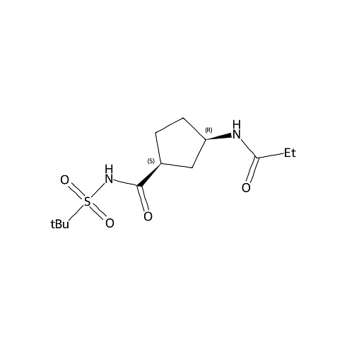 CCC(=O)N[C@@H]1CC[C@H](C(=O)NS(=O)(=O)C(C)(C)C)C1